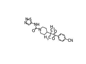 CC(C)(C1CCN(C(=O)Nc2cnns2)CC1)S(=O)(=O)c1ccc(C#N)cc1